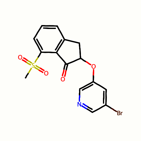 CS(=O)(=O)c1cccc2c1C(=O)C(Oc1cncc(Br)c1)C2